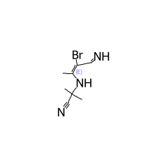 C/C(NC(C)(C)C#N)=C(\Br)C=N